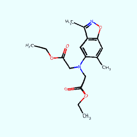 CCOC(=O)CN(CC(=O)OCC)c1cc2c(C)noc2cc1C